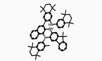 Cc1cc2c(cc1N1c3cc4c(cc3Bc3c(-c5cc6c(cc5Nc5ccc7c(c5)C(C)(C)CCC7(C)C)C(C)(C)CCC6(C)C)cc5ccccc5c31)C(C)(C)c1ccccc1-4)C(C)(C)CCC2(C)C